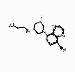 COCCN[C@@H]1C[C@H](C)CN(c2ccc(C#N)c3nccnc23)C1